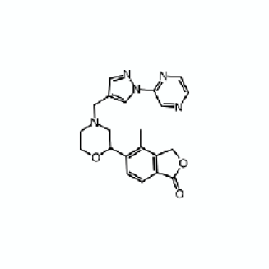 Cc1c(C2CN(Cc3cnn(-c4cnccn4)c3)CCO2)ccc2c1COC2=O